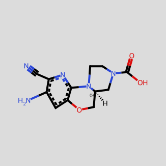 N#Cc1nc2c(cc1N)OC[C@@H]1CN(C(=O)O)CCN21